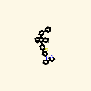 c1ccc(-c2cccc(-c3c4ccccc4c(-c4ccc5c(c4)sc4cc(-n6c7ccccc7c7cccnc76)ccc45)c4ccccc34)c2)cc1